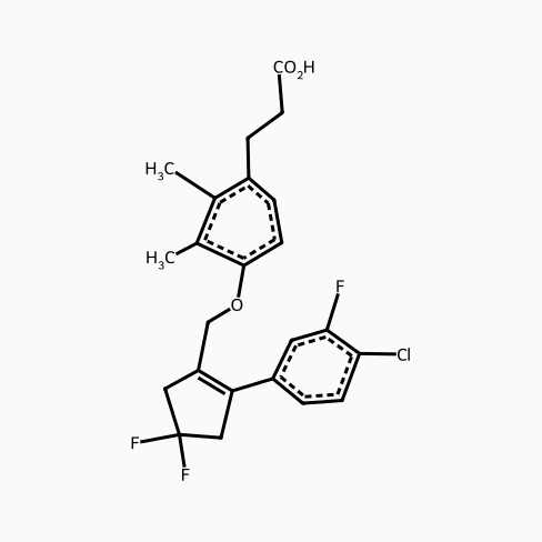 Cc1c(CCC(=O)O)ccc(OCC2=C(c3ccc(Cl)c(F)c3)CC(F)(F)C2)c1C